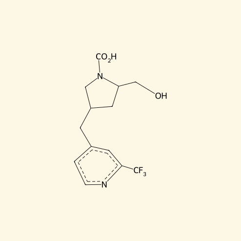 O=C(O)N1CC(Cc2ccnc(C(F)(F)F)c2)CC1CO